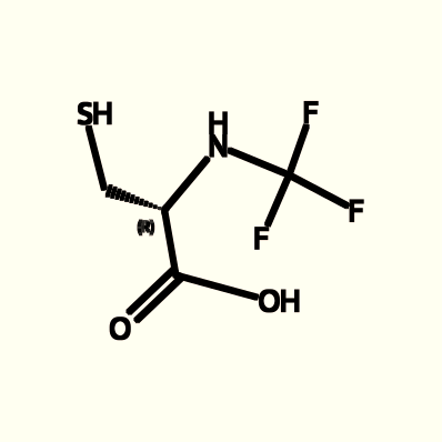 O=C(O)[C@H](CS)NC(F)(F)F